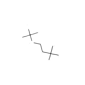 CC(C)(S)OCCC(C)(C)C(C)(C)C